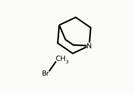 C1CN2CCC1CC2.CBr